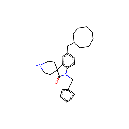 O=C1N(Cc2ccccc2)c2ccc(CC3CCCCCCC3)cc2C12CCNCC2